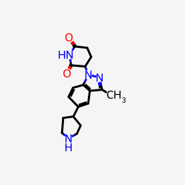 Cc1nn(C2CCC(=O)NC2=O)c2ccc(C3CCNCC3)cc12